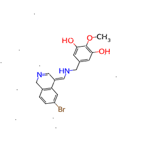 COc1c(O)cc(CN/C=C2\C=NCc3ccc(Br)cc32)cc1O